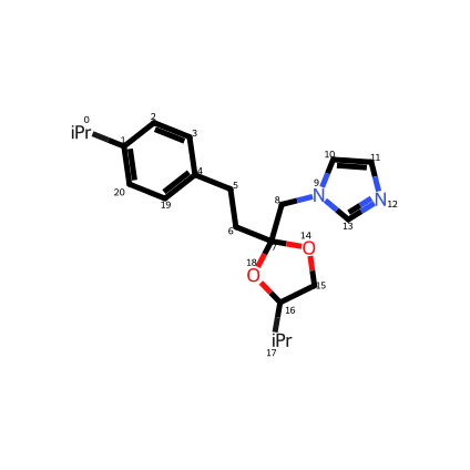 CC(C)c1ccc(CCC2(Cn3ccnc3)OCC(C(C)C)O2)cc1